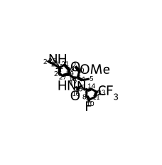 COC(=O)C1=C(C)N(c2cc(F)cc(C(F)(F)F)c2)C(=O)NC1c1ccc(C2CN2)cc1